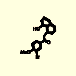 COc1ccc(C(=O)Cc2cccc3cccc(O)c23)cc1Br